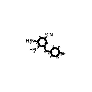 Cc1c(N)cc(C#N)cc1Cc1ccc(F)cc1